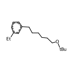 CCc1cccc(CCCCCCOC(C)(C)C)c1